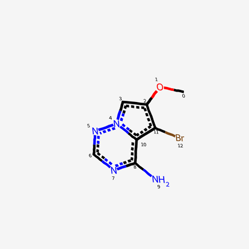 COc1cn2ncnc(N)c2c1Br